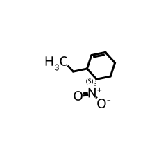 CCC1C=CCC[C@@H]1[N+](=O)[O-]